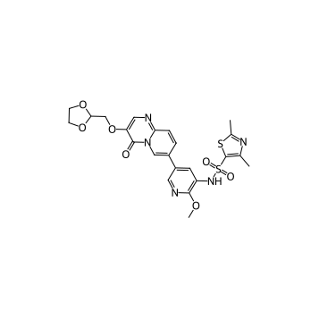 COc1ncc(-c2ccc3ncc(OCC4OCCO4)c(=O)n3c2)cc1NS(=O)(=O)c1sc(C)nc1C